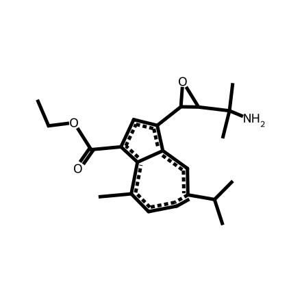 CCOC(=O)c1cc(C2OC2C(C)(C)N)c2cc(C(C)C)ccc(C)c1-2